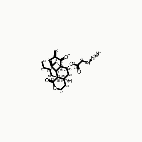 C=C1C=C2C[C@@]3(C1=O)C2[C@@]1(CCCC)C(=O)OCC[C@@H]1C[C@H]3OC(=O)CN=[N+]=[N-]